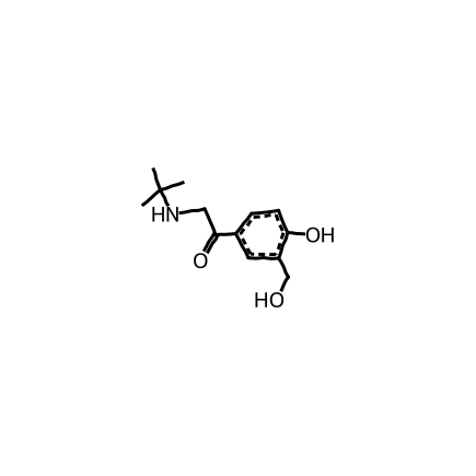 CC(C)(C)NCC(=O)c1ccc(O)c(CO)c1